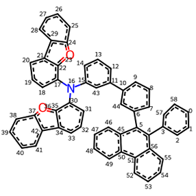 c1ccc(-c2c(-c3cccc(-c4cccc(N(c5cccc6c5oc5ccccc56)c5cccc6c5oc5ccccc56)c4)c3)c3ccccc3c3ccccc23)cc1